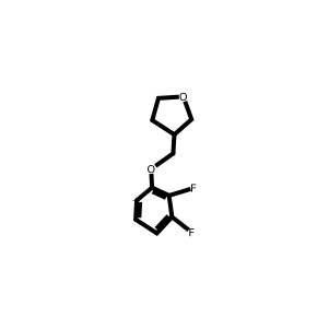 Fc1cc[c]c(OCC2CCOC2)c1F